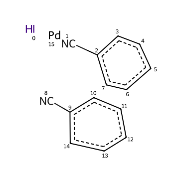 I.N#Cc1ccccc1.N#Cc1ccccc1.[Pd]